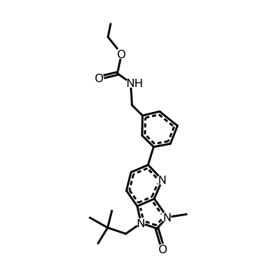 CCOC(=O)NCc1cccc(-c2ccc3c(n2)n(C)c(=O)n3CC(C)(C)C)c1